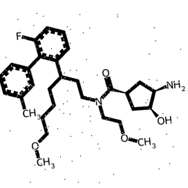 COCCCCC(CCN(CCOC)C(=O)[C@H]1C[C@@H](N)[C@@H](O)C1)c1cccc(F)c1-c1cccc(C)c1